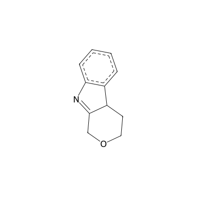 c1ccc2c(c1)N=C1COCCC12